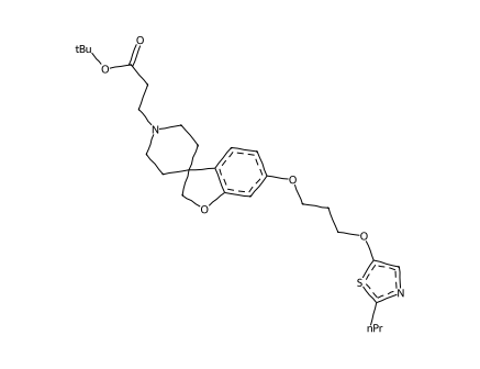 CCCc1ncc(OCCCOc2ccc3c(c2)OCC32CCN(CCC(=O)OC(C)(C)C)CC2)s1